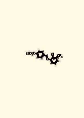 CCOC(=O)c1ccc(COc2cccc(C(F)(F)F)c2Cl)cc1